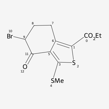 CCOC(=O)c1sc(SC)c2c1CCC(Br)C2=O